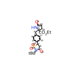 CCOC(=O)C1(Cc2ccc(C3CC(=O)N(C(C)(C)C)S3(=O)=O)cc2)CCC(=O)N1